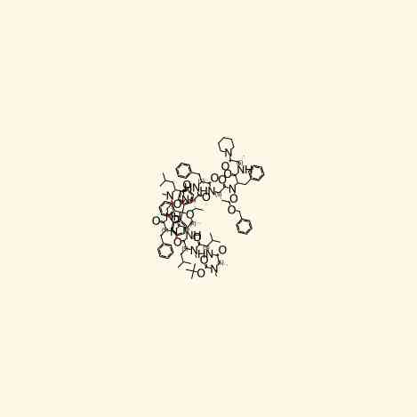 CC(C)CC(C(=O)N(C)[C@H](C(=O)N[C@@H](Cc1ccccc1)C(=O)N[C@@H](CC(=O)OCc1ccccc1)C(=O)N(C)C(Cc1ccccc1)C(=O)N[C@@H](C)C(=O)N1CCCCC1)C(C)C)N(C)C(=O)CNC(=O)[C@H](Cc1ccccc1)N(C)C(=O)[C@@H](NC(=O)[C@H](CC(C)C)N(C)C(=O)[C@@H](NC(=O)[C@H](C)N(C)C(=O)OC(C)(C)C)C(C)C)[C@@H](C)OC(c1ccccc1)(c1ccccc1)c1ccccc1